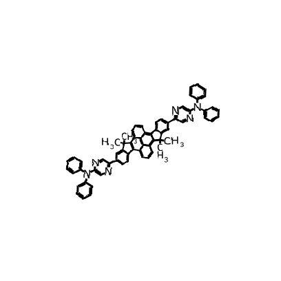 CC1(C)c2cc(-c3cnc(N(c4ccccc4)c4ccccc4)cn3)ccc2-c2c1c1cccc3c4c(c5cccc2c5c31)C(C)(C)c1cc(-c2cnc(N(c3ccccc3)c3ccccc3)cn2)ccc1-4